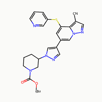 CC(C)(C)OC(=O)N1CCCC(n2cc(-c3cc(Sc4cccnc4)c4c(C#N)cnn4c3)cn2)C1